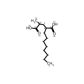 CCCCCCCCC(CC(C)C(=O)O)C(=O)O